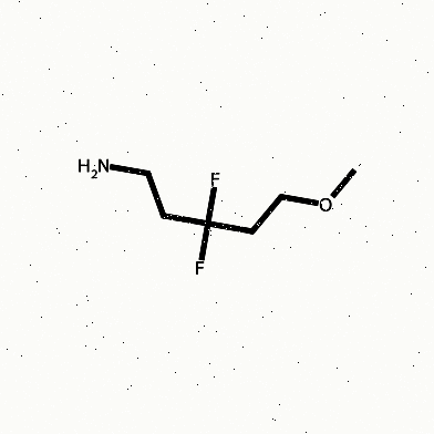 COCCC(F)(F)CCN